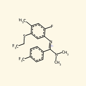 Cc1cc(F)c(/N=C(\c2ccc(C(F)(F)F)cc2)N(C)C)cc1SCC(F)(F)F